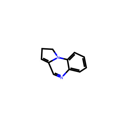 C1=Nc2ccccc2N2CCC=C12